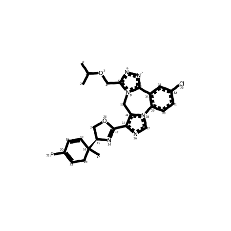 CC(C)OCc1nnc2n1Cc1c(C3=N[C@@H](C4(C)C=CC(F)=CC4)CO3)ncn1-c1ccc(Cl)cc1-2